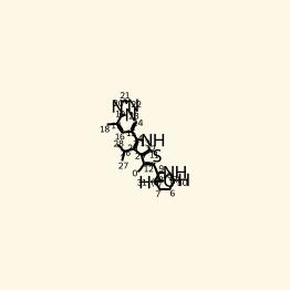 Cc1c(C2C[C@H]3CC[C@@H]2CN3)sc2[nH]c(-c3cc(C)c4ncnn4c3)c(C(C)C)c12